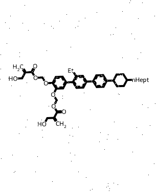 C=C(CO)C(=O)OCOc1ccc(-c2ccc(-c3ccc(C4CCC(CCCCCCC)CC4)cc3)cc2CC)cc1OCOC(=O)C(=C)CO